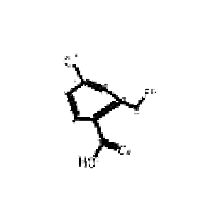 O=C(O)c1ccc(Cl)cc1CF